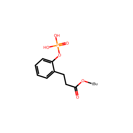 CC(C)(C)OC(=O)CCc1ccccc1OP(=O)(O)O